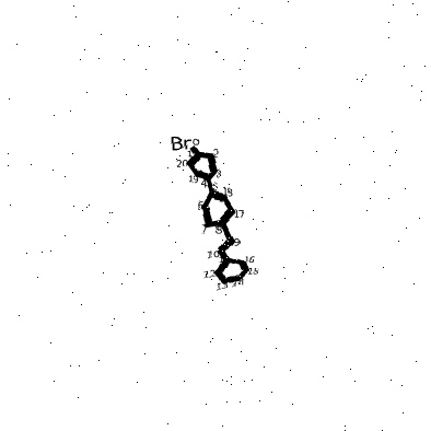 Brc1ccc(-c2ccc(/C=C/c3ccccc3)cc2)cc1